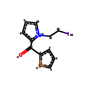 O=C(c1cccs1)c1cccn1CCI